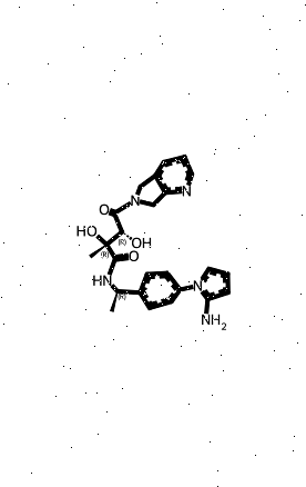 C[C@@H](NC(=O)[C@](C)(O)[C@@H](O)C(=O)N1Cc2cccnc2C1)c1ccc(-n2cccc2N)cc1